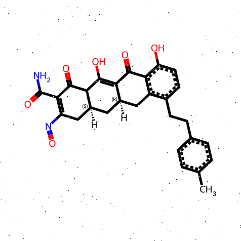 Cc1ccc(CCc2ccc(O)c3c2C[C@H]2C[C@H]4CC(N=O)=C(C(N)=O)C(=O)C4C(O)=C2C3=O)cc1